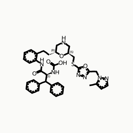 Cc1ccnn1Cc1nnc(SC[C@@H]2CNC[C@@H](CCc3ccccc3NC(=O)[C@@H](NC(=O)O)C(c3ccccc3)c3ccccc3)O2)o1